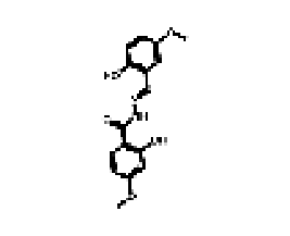 COc1ccc(C(=O)N/N=C/c2cc(OC)ccc2O)c(O)c1